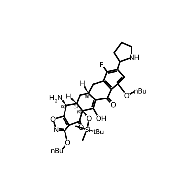 CCCCOc1cc(C2CCCN2)c(F)c2c1C(=O)C1=C(O)[C@]3(O[Si](C)(C)C(C)(C)C)C(=O)c4c(OCCCC)noc4[C@@H](N)[C@@H]3C[C@@H]1C2